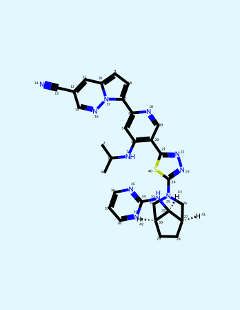 CC(C)Nc1cc(-c2ccc3cc(C#N)cnn23)ncc1-c1nnc(N2C[C@H]3CC[C@@H](C2)[C@H]3Nc2ncccn2)s1